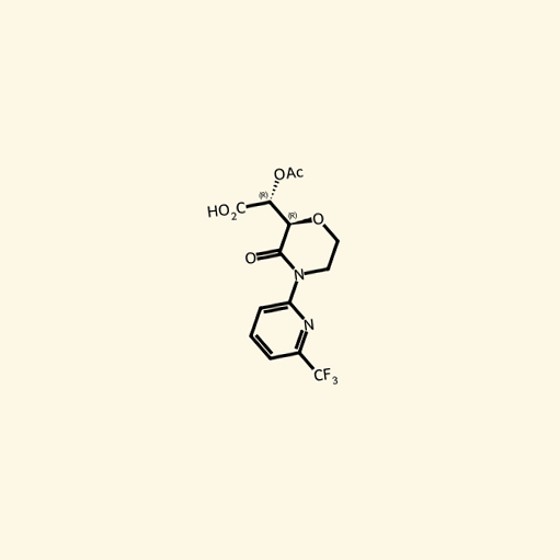 CC(=O)O[C@@H](C(=O)O)[C@H]1OCCN(c2cccc(C(F)(F)F)n2)C1=O